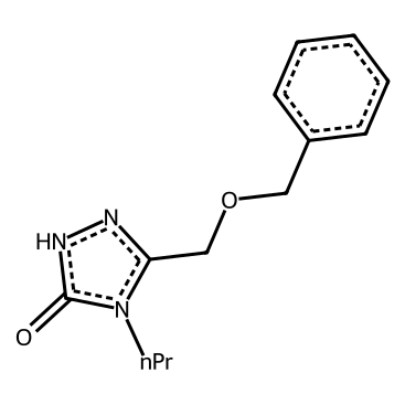 CCCn1c(COCc2ccccc2)n[nH]c1=O